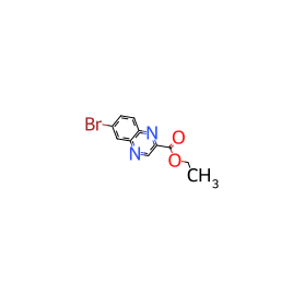 CCOC(=O)c1cnc2cc(Br)ccc2n1